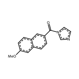 COc1ccc2cc(C(=O)n3ccnc3)ccc2c1